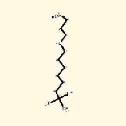 CCCCCCCCCCCCCOCCCCCCC(F)(F)C(F)(F)F